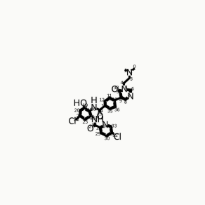 CN(C)CCn1cncc(-c2ccc(C(=O)Nc3c(O)cc(Cl)cc3NC(=O)c3ccc(Cl)cn3)cc2)c1=O